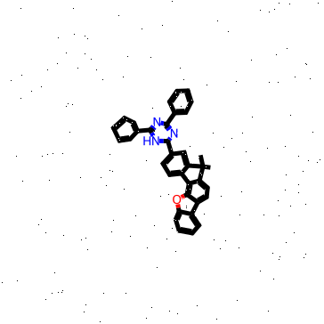 CC1(C)c2cc(C3N=C(c4ccccc4)N=C(c4ccccc4)N3)ccc2-c2c1ccc1c2oc2ccccc21